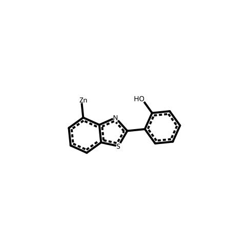 Oc1ccccc1-c1nc2[c]([Zn])cccc2s1